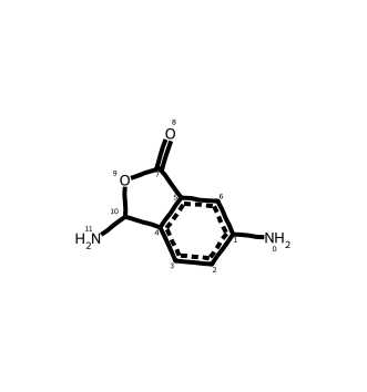 Nc1ccc2c(c1)C(=O)OC2N